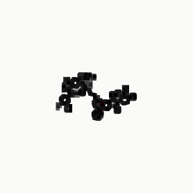 COc1cc2ncnc(Nc3ccc(F)c(Cl)c3)c2cc1NC(=O)/C=C/CN1CCC(CN2C3CC2CN(c2cc4c(cc2F)C(=O)N(C2CCC(=O)NC2=O)C4=O)C3)CC1